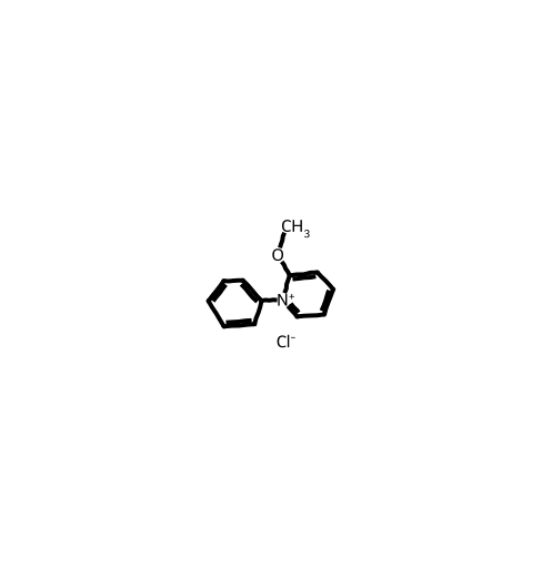 COc1cccc[n+]1-c1ccccc1.[Cl-]